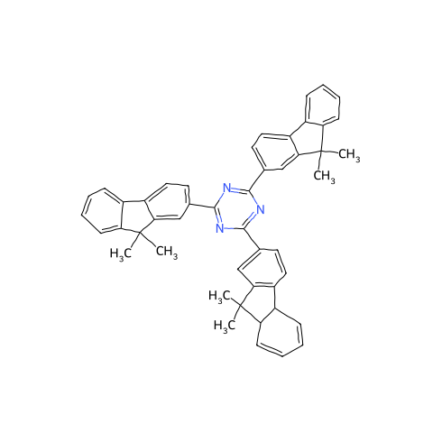 CC1(C)c2ccccc2-c2ccc(-c3nc(-c4ccc5c(c4)C(C)(C)c4ccccc4-5)nc(-c4ccc5c(c4)C(C)(C)C4C=CC=CC54)n3)cc21